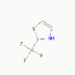 FC(F)(F)C1NC=[C]S1